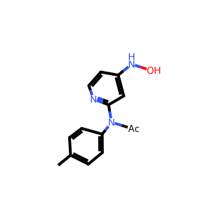 CC(=O)N(c1ccc(C)cc1)c1cc(NO)ccn1